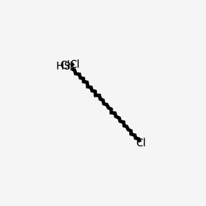 ClCCCCCCCCCCCCCCCCCCCCCCCCCCCCCCCCCC[SiH](Cl)Cl